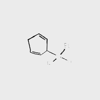 CC[Si](CC)(CC)C1C=CCC=C1